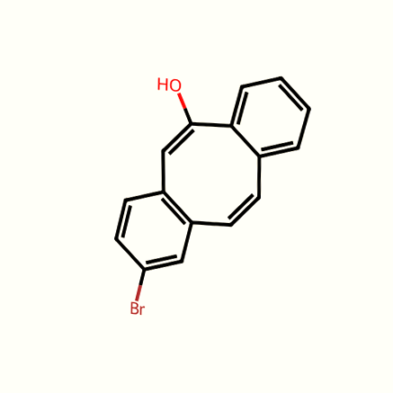 OC1=Cc2ccc(Br)cc2C=Cc2ccccc21